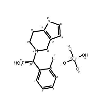 O=C(O)[C@H](c1ccccc1Cl)N1CCc2sccc2C1.[O-][Cl+3]([O-])([O-])O